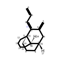 C=C/C=C1\C(=C)C[C@@H]2CCC[C@]13CCCC[C@H]23